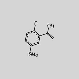 C=C(O)c1cc(SC)ccc1F